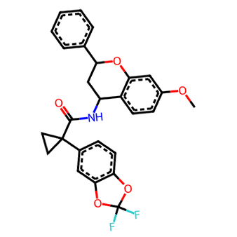 COc1ccc2c(c1)OC(c1ccccc1)CC2NC(=O)C1(c2ccc3c(c2)OC(F)(F)O3)CC1